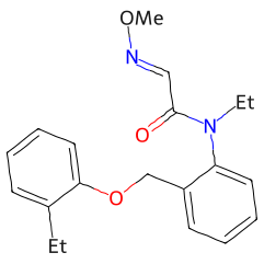 CCc1ccccc1OCc1ccccc1N(CC)C(=O)C=NOC